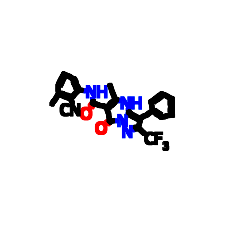 Cc1cccc(NC(=O)c2c(C)[nH]c3c(-c4ccccc4)c(C(F)(F)F)nn3c2=O)c1C#N